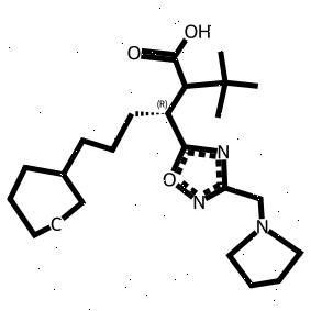 CC(C)(C)C(C(=O)O)[C@@H](CCCC1CCCCC1)c1nc(CN2CCCC2)no1